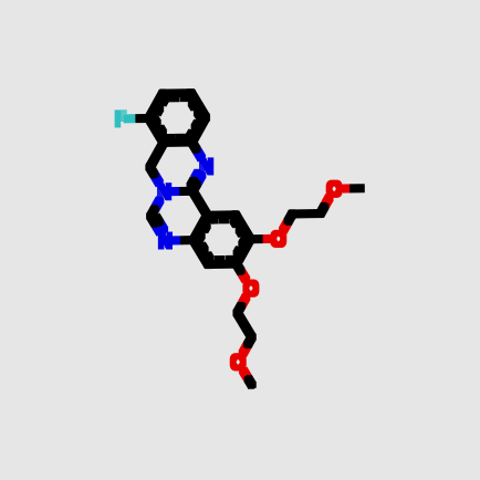 COCCOc1cc2c(cc1OCCOC)C1=Nc3cccc(F)c3CN1C=N2